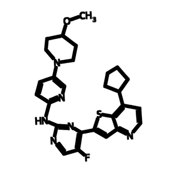 COC1CCN(c2ccc(Nc3ncc(F)c(-c4cc5nccc(C6CCCC6)c5s4)n3)nc2)CC1